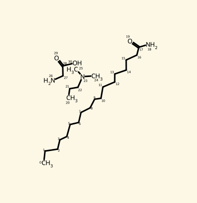 CCCCCCCCCCCCCCCCCC(N)=O.CCCN(C)C.NCC(=O)O